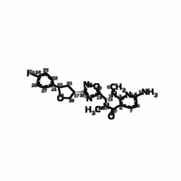 C=Nc1nc(N)ccc1C(=O)N(C)Cc1nc([C@@H]2CO[C@@H](c3ccc(F)cc3)C2)no1